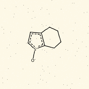 [O-][s+]1ccc2c1CCCC2